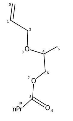 C=CCOC(C)COC(=O)CCC